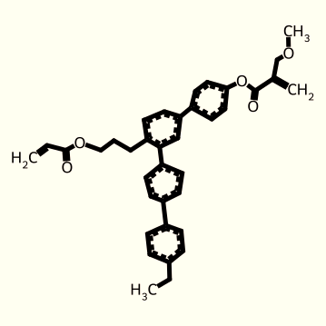 C=CC(=O)OCCCc1ccc(-c2ccc(OC(=O)C(=C)COC)cc2)cc1-c1ccc(-c2ccc(CC)cc2)cc1